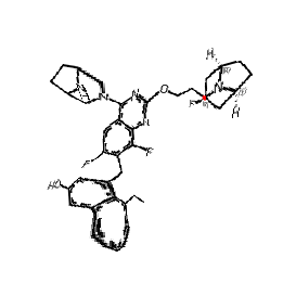 CCc1cccc2cc(O)cc(Cc3c(F)cc4c(N5CC6CCC(C5)N6)nc(OCCCN5[C@@H]6CC[C@H]5C[C@@H](F)C6)nc4c3F)c12